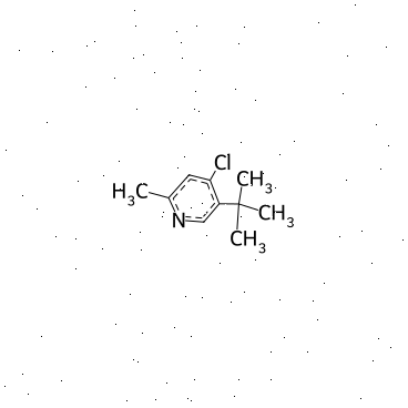 Cc1cc(Cl)c(C(C)(C)C)cn1